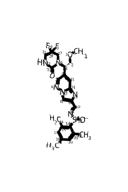 COC[C@H](c1cnn2cc(/C=N/[S+]([O-])c3c(C)cc(C)cc3C)nc2c1)N1CC(F)(F)CNC1=O